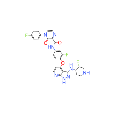 O=C(Nc1ccc(Oc2ccnc3[nH]nc(NC4CCNCC4F)c23)c(F)c1)c1nccn(-c2ccc(F)cc2)c1=O